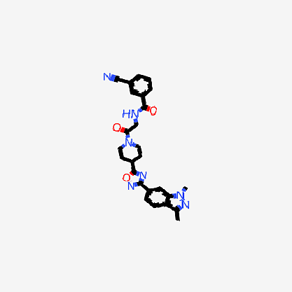 Cc1nn(C)c2cc(-c3noc(C4CCN(C(=O)CNC(=O)c5cccc(C#N)c5)CC4)n3)ccc12